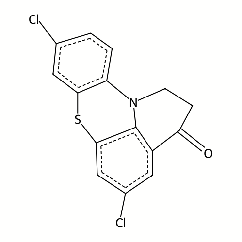 O=C1CCN2c3ccc(Cl)cc3Sc3cc(Cl)cc1c32